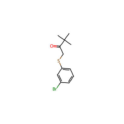 CC(C)(C)C(=O)CSc1cccc(Br)c1